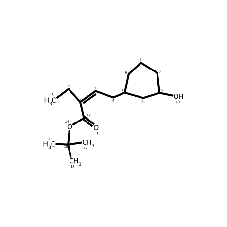 CCC(=CCC1CCCC(O)C1)C(=O)OC(C)(C)C